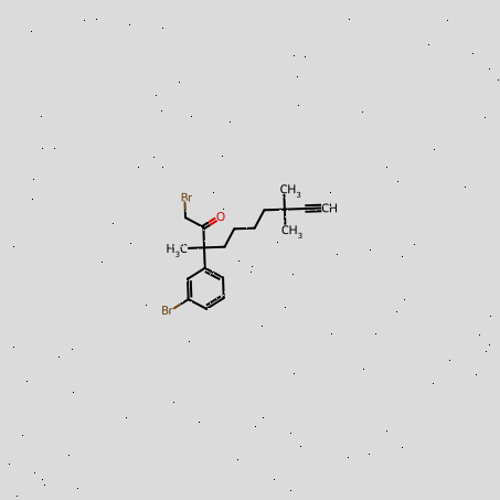 C#CC(C)(C)CCCCC(C)(C(=O)CBr)c1cccc(Br)c1